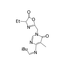 CCC(C)/C=N\c1ncn(CC2=NC(CC)C(=O)O2)c(=O)c1C